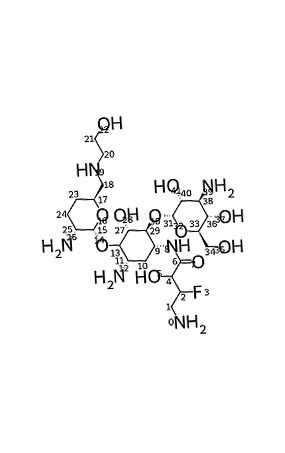 NCC(F)C(O)C(=O)N[C@@H]1C[C@H](N)C(O[C@H]2O[C@H](CNCCO)CC[C@H]2N)[C@H](O)[C@H]1O[C@H]1O[C@H](CO)[C@@H](O)[C@H](N)[C@H]1O